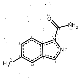 Cc1ccc2c(cnn2C(N)=O)c1